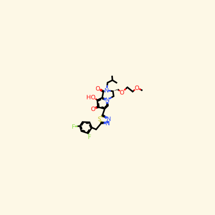 COCCOC[C@@H]1Cn2cc(-c3nnc(Cc4ccc(F)cc4F)s3)c(=O)c(O)c2C(=O)N1CC(C)C